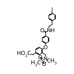 CN(Cc1cc(CC(=O)O)ccc1Oc1ccc(C(=O)NCCc2ccc(I)cc2)cc1)S(C)(=O)=O